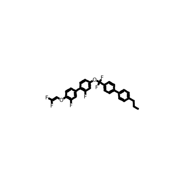 CCCc1ccc(-c2ccc(C(F)(F)Oc3ccc(-c4ccc(OC=C(F)F)c(F)c4)c(F)c3)cc2)cc1